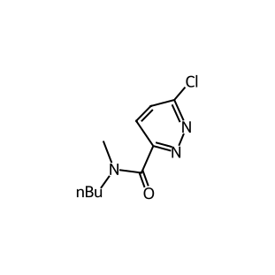 CCCCN(C)C(=O)c1ccc(Cl)nn1